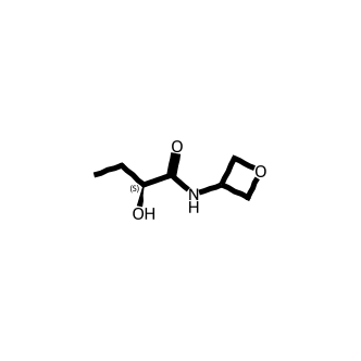 CC[C@H](O)C(=O)NC1COC1